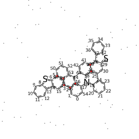 c1cc(-c2ccc3sc4ccccc4c3c2)cc(N(c2ccccc2-c2ccc3c(c2)sc2ccccc23)c2ccccc2-c2cccc3ccccc23)c1